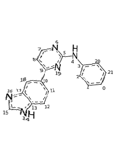 c1ccc(Nc2nccc(-c3ccc4[nH]cnc4c3)n2)cc1